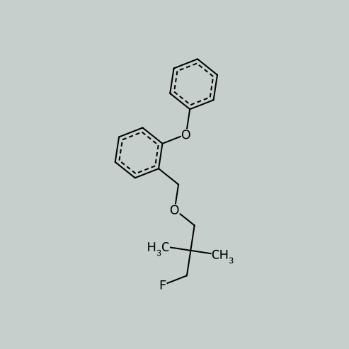 CC(C)(CF)COCc1ccccc1Oc1ccccc1